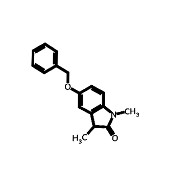 CC1C(=O)N(C)c2ccc(OCc3ccccc3)cc21